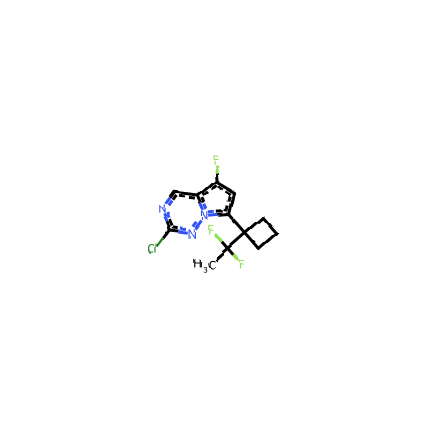 CC(F)(F)C1(c2cc(F)c3cnc(Cl)nn23)CCC1